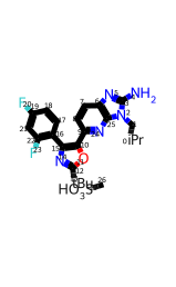 CC(C)Cn1c(N)nc2ccc(-c3oc(C(C)(C)C)nc3-c3ccc(F)cc3F)nc21.CS(=O)(=O)O